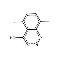 Cc1ccc(C)c2c(O)cnnc12